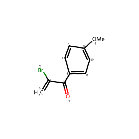 C=C(Br)C(=O)c1ccc(OC)cc1